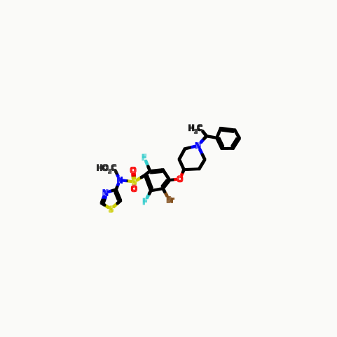 CC(c1ccccc1)N1CCC(Oc2cc(F)c(S(=O)(=O)N(C(=O)O)c3cscn3)c(F)c2Br)CC1